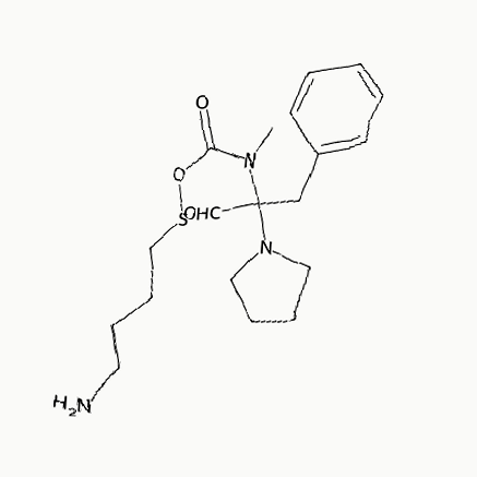 CN(C(=O)OSCCCCN)C(C=O)(Cc1ccccc1)N1CCCC1